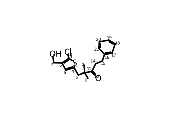 CC(C)(Cc1cc(CO)c(Cl)s1)C(=O)CCc1ccccc1